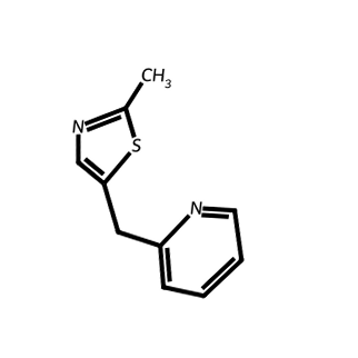 Cc1ncc(Cc2ccccn2)s1